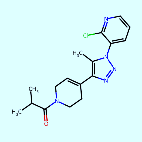 Cc1c(C2=CCN(C(=O)C(C)C)CC2)nnn1-c1cccnc1Cl